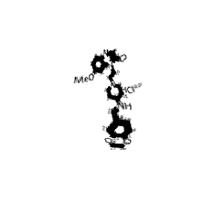 COc1ccc2ncc(=O)n(CCN3CCC(NCc4ccc5c(c4)OC=CO5)CC3)c2c1.Cl